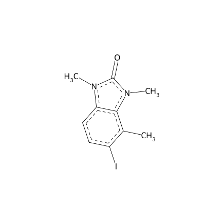 Cc1c(I)ccc2c1n(C)c(=O)n2C